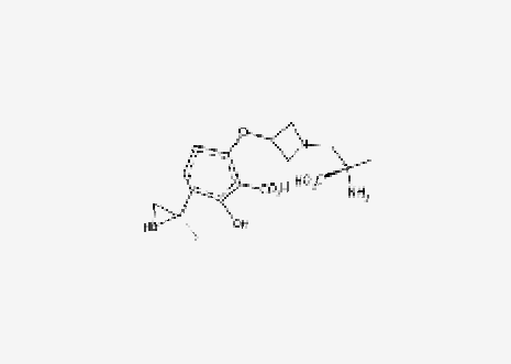 C[C@](N)(CN1CC(Oc2ccc([C@@]3(C)BC3)c(O)c2C(=O)O)C1)C(=O)O